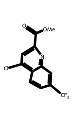 COC(=O)c1cc(Cl)c2ccc(C(F)(F)F)cc2n1